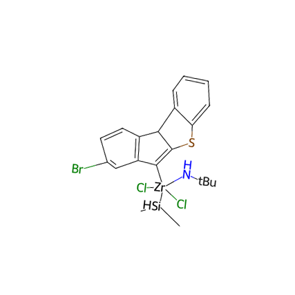 C[SiH](C)[Zr]([Cl])([Cl])([NH]C(C)(C)C)[C]1=C2Sc3ccccc3C2c2ccc(Br)cc21